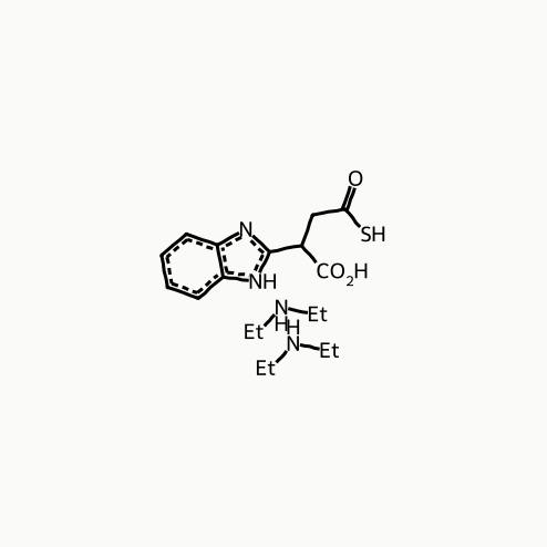 CCNCC.CCNCC.O=C(S)CC(C(=O)O)c1nc2ccccc2[nH]1